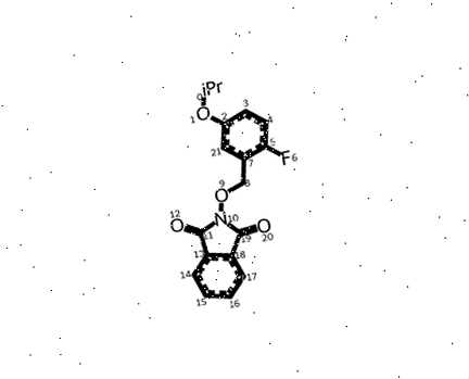 CC(C)Oc1ccc(F)c(CON2C(=O)c3ccccc3C2=O)c1